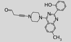 Cc1ccc2c(N3CCN(C#CCC=O)CC3)nc(-c3ccccc3O)nc2c1